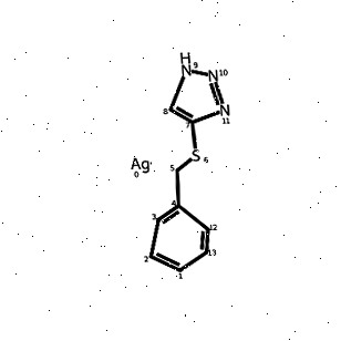 [Ag].c1ccc(CSc2c[nH]nn2)cc1